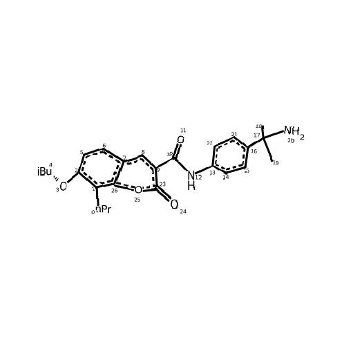 CCCc1c(O[C@@H](C)CC)ccc2cc(C(=O)Nc3ccc(C(C)(C)N)cc3)c(=O)oc12